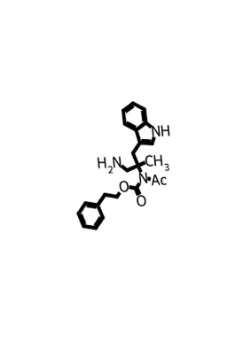 CC(=O)N(C(=O)OCCc1ccccc1)C(C)(CN)Cc1c[nH]c2ccccc12